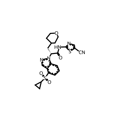 N#Cc1cnc(NC(=O)[C@@H](CC2CCOCC2)n2ncc3c(S(=O)(=O)C4CC4)cccc32)s1